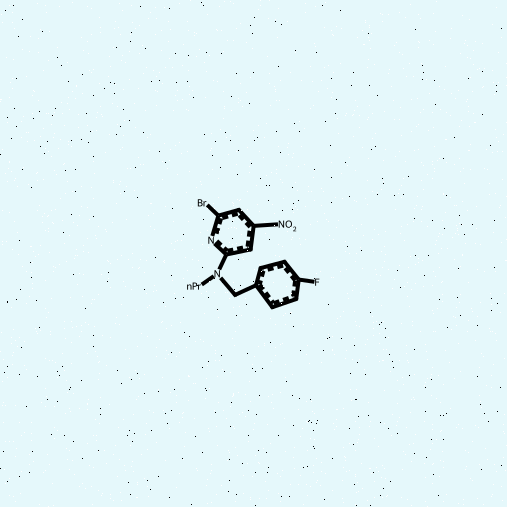 CCCN(Cc1ccc(F)cc1)c1cc([N+](=O)[O-])cc(Br)n1